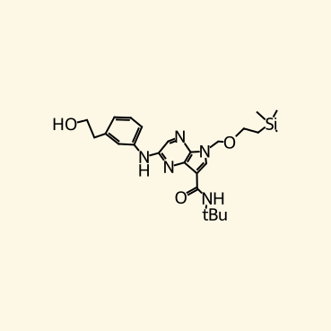 CC(C)(C)NC(=O)c1cn(COCC[Si](C)(C)C)c2ncc(Nc3cccc(CCO)c3)nc12